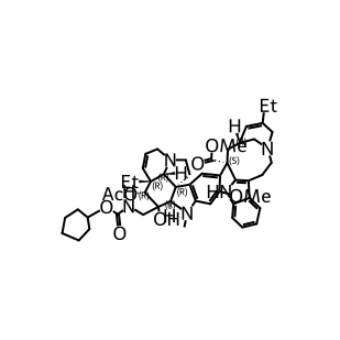 CCC1=C[C@@H]2CN(CCc3c([nH]c4ccccc34)[C@@](C(=O)OC)(c3cc4c(cc3OC)N(C)[C@H]3C(O)(CNC(=O)OC5CCCCC5)[C@H](OC(C)=O)[C@]5(CC)C=CCN6CC[C@]43[C@@H]65)C2)C1